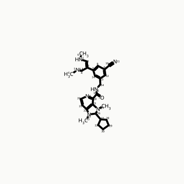 CN/C=C(\CNC)c1cc(C#N)cc(CNC(=O)c2nccc3c2N(C)C(C2CCCC2)N3C)c1